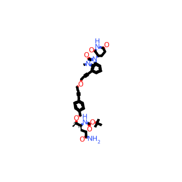 C[C@@H](OCc1ccc(C#CCOCC#Cc2cccc3c2n(C)c(=O)n3C2CCC(=O)NC2=O)cc1)[C@H](CCC(N)=O)NC(=O)OC(C)(C)C